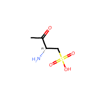 CC(=O)[C@@H](N)CS(=O)(=O)O